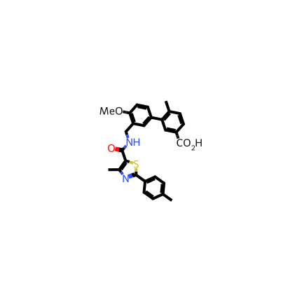 COc1ccc(-c2cc(C(=O)O)ccc2C)cc1CNC(=O)c1sc(-c2ccc(C)cc2)nc1C